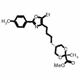 CCc1oc(-c2ccc(C)cc2)nc1CCCC[C@H]1CO[C@@](C)(C(=O)OC)OC1